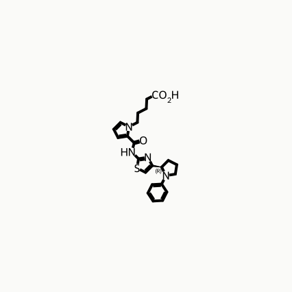 O=C(O)CCCCn1cccc1C(=O)Nc1nc([C@H]2CCCN2c2ccccc2)cs1